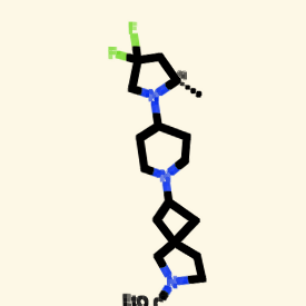 CCOC(=O)N1CCC2(CC(N3CCC(N4CC(F)(F)C[C@@H]4C)CC3)C2)C1